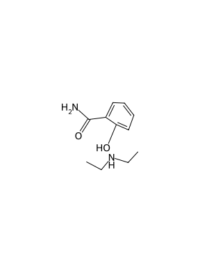 CCNCC.NC(=O)c1ccccc1O